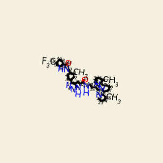 Cc1cc(-c2ncnc3[nH]c(C(=O)NCCCCN4[C@@H](c5ncccc5C)CCC[C@H]4c4ncccc4C)cc23)ccc1CNC(=O)c1ccc(C(F)(F)F)cc1